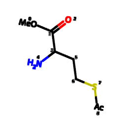 COC(=O)C(N)CCSC(C)=O